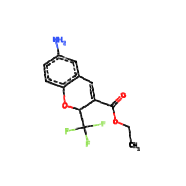 CCOC(=O)C1=Cc2cc(N)ccc2OC1C(F)(F)F